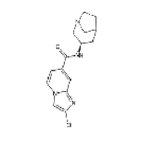 O=C(N[C@@H]1CC2CCN(C2)C1)c1ccn2cc(Cl)nc2c1